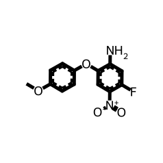 COc1ccc(Oc2cc([N+](=O)[O-])c(F)cc2N)cc1